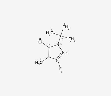 Cc1c(F)nn(C(C)(C)C)c1Cl